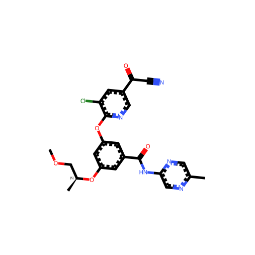 COC[C@H](C)Oc1cc(Oc2ncc(C(=O)C#N)cc2Cl)cc(C(=O)Nc2cnc(C)cn2)c1